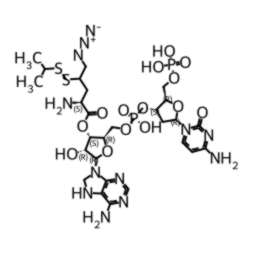 CC(C)SSC(CN=[N+]=[N-])C[C@H](N)C(=O)O[C@H]1[C@@H](O)[C@H](N2CNc3c(N)ncnc32)O[C@@H]1COP(=O)(O)O[C@H]1C[C@H](n2ccc(N)nc2=O)O[C@@H]1COP(=O)(O)O